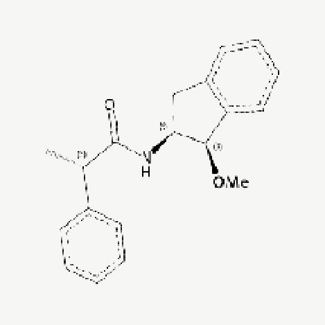 CO[C@@H]1c2ccccc2C[C@@H]1NC(=O)[C@@H](C)c1ccccc1